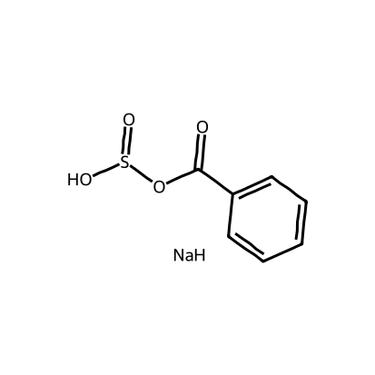 O=C(OS(=O)O)c1ccccc1.[NaH]